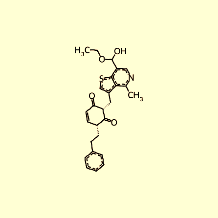 CCOC(O)c1cnc(C)c2c(C[C@H]3C(=O)C=C[C@@H](CCc4ccccc4)C3=O)csc12